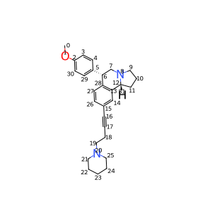 COc1ccc([C@@H]2CN3CCC[C@@H]3c3cc(C#CCCN4CCCCC4)ccc32)cc1